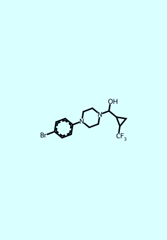 OC(C1CC1C(F)(F)F)N1CCN(c2ccc(Br)cc2)CC1